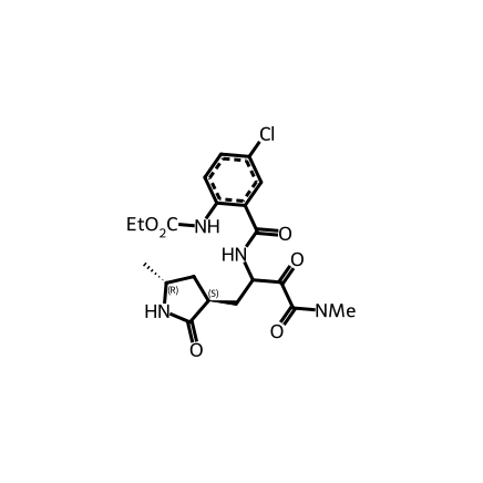 CCOC(=O)Nc1ccc(Cl)cc1C(=O)NC(C[C@@H]1C[C@@H](C)NC1=O)C(=O)C(=O)NC